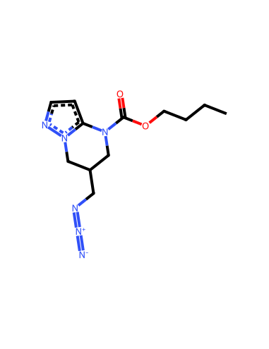 CCCCOC(=O)N1CC(CN=[N+]=[N-])Cn2nccc21